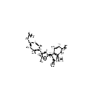 CN(C)Cc1ccc(C2=CC(=C3C(=O)Nc4cc(F)ccc43)OC2(C)C)cc1